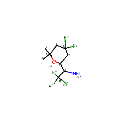 CC1(C)CC(F)(F)CC(C(N)C(F)(F)F)O1